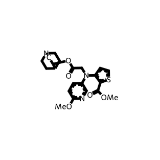 COC(=O)c1sccc1N(CC(=O)OC1CN2CCC1CC2)c1ccc(OC)nc1